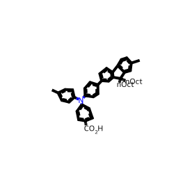 CCCCCCCCC1(CCCCCCCC)c2cc(C)ccc2-c2ccc(-c3ccc(N(c4ccc(C)cc4)c4ccc(C(=O)O)cc4)cc3)cc21